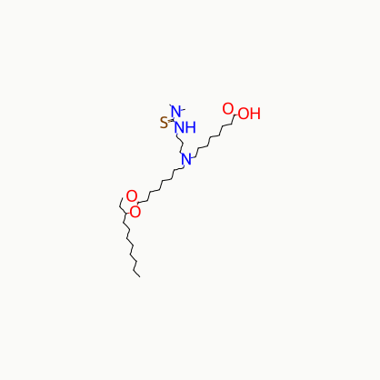 CCCCCCCCC(CC)OC(=O)CCCCCCCN(CCCCCCCC(=O)O)CCCNC(=S)N(C)C